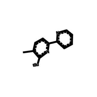 Cc1ccc(-c2ccccn2)nc1C(C)(C)C